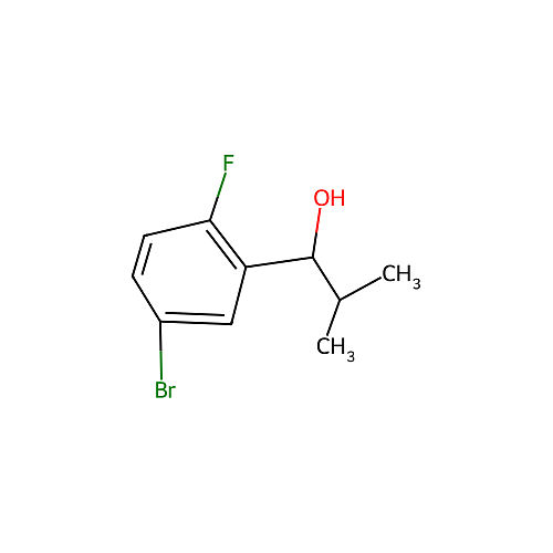 CC(C)C(O)c1cc(Br)ccc1F